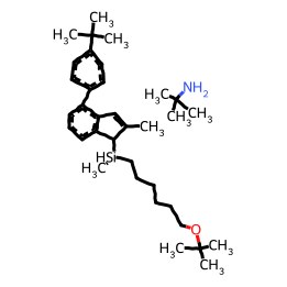 CC(C)(C)N.CC1=Cc2c(-c3ccc(C(C)(C)C)cc3)cccc2C1[SiH](C)CCCCCCOC(C)(C)C